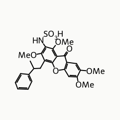 COc1cc2oc3c(CC(C)c4ccccc4)c(OC)c(NS(=O)(=O)O)c(OC)c3c(=O)c2cc1OC